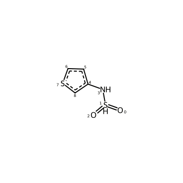 O=[SH](=O)Nc1ccsc1